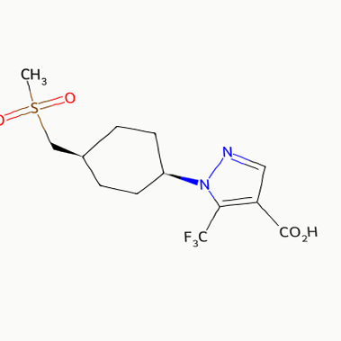 CS(=O)(=O)C[C@H]1CC[C@@H](n2ncc(C(=O)O)c2C(F)(F)F)CC1